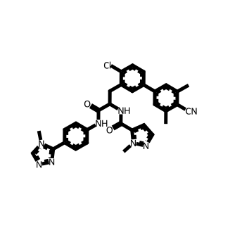 Cc1cc(-c2ccc(Cl)c(CC(NC(=O)c3ccnn3C)C(=O)Nc3ccc(-c4nncn4C)cc3)c2)cc(C)c1C#N